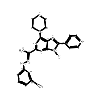 CCn1c(-c2ccncc2)nc2c(N3CCOCC3)nc(C(C)=NNc3cccc(C)c3)nc21